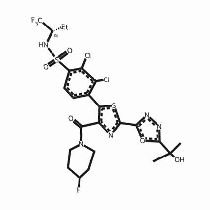 CC[C@H](NS(=O)(=O)c1ccc(-c2sc(-c3nnc(C(C)(C)O)o3)nc2C(=O)N2CCC(F)CC2)c(Cl)c1Cl)C(F)(F)F